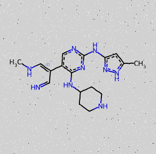 CN/C=C(\C=N)c1cnc(Nc2cc(C)[nH]n2)nc1NC1CCNCC1